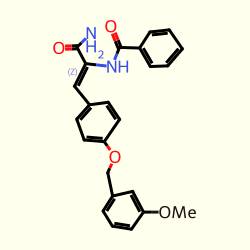 COc1cccc(COc2ccc(/C=C(\NC(=O)c3ccccc3)C(N)=O)cc2)c1